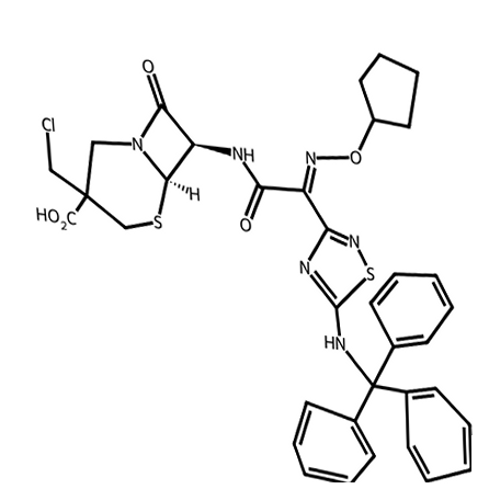 O=C(N[C@@H]1C(=O)N2CC(CCl)(C(=O)O)CS[C@H]12)C(=NOC1CCCC1)c1nsc(NC(c2ccccc2)(c2ccccc2)c2ccccc2)n1